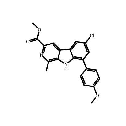 COC(=O)c1cc2c([nH]c3c(-c4ccc(OC)cc4)cc(Cl)cc32)c(C)n1